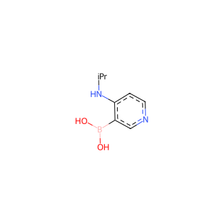 CC(C)Nc1ccncc1B(O)O